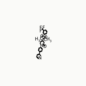 CC(C)([C@@H]1CCN(c2ccc(-c3cccnc3)cc2)C(=O)C1)S(=O)(=O)c1cccc(C(F)(F)F)c1